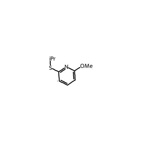 COc1cc[c]c(SC(C)C)n1